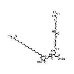 CCNC(=O)COCCOCCNC(=O)COCCOCCNC(=O)CC(CC(=O)OC(C)(C)C)NC(=O)CC[C@H](NC(=O)CCCCCCCCCCCCCCCCC(=O)OC(C)(C)C)C(=O)OC(C)(C)C